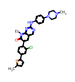 CCn1c(=O)c(-c2ccc(-c3ccc(C)s3)cc2Cl)cc2cnc(Nc3ccc(N4CCN(C)CC4)cc3)nc21